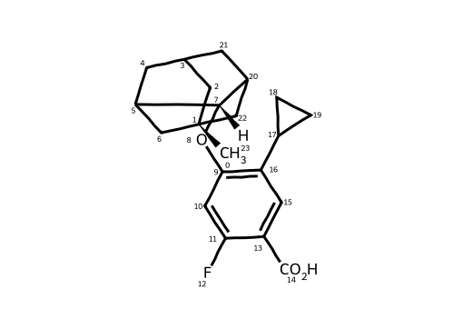 C[C@]12CC3CC(C1)[C@@H](Oc1cc(F)c(C(=O)O)cc1C1CC1)C(C3)C2